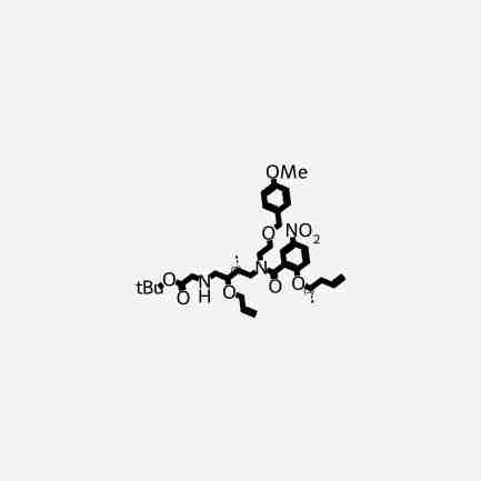 C=CCOC(CNCC(=O)OC(C)(C)C)[C@H](C)CN(CCOCc1ccc(OC)cc1)C(=O)c1cc([N+](=O)[O-])ccc1O[C@@H](C)CC=C